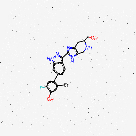 CCc1cc(O)c(F)cc1-c1ccc2c(-c3nc4c([nH]3)CNC(CO)C4)n[nH]c2c1